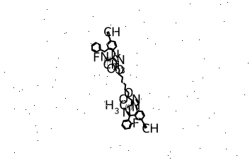 C#Cc1ccc2c(c1)C(c1ccccc1F)=N[C@@H](C)c1c(C(=O)OCCCCCOC(=O)c3ncn4c3[C@H](C)N=C(c3ccccc3F)c3cc(C#C)ccc3-4)ncn1-2